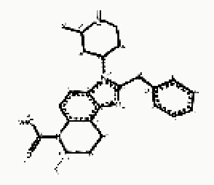 COC(=O)N1c2ccc3c(nc(Cc4ccccc4)n3C3CCNC(C)C3)c2CC[C@@H]1C